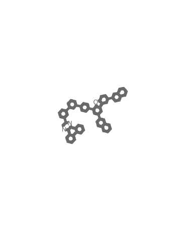 c1cc(-c2ccc(-c3cc(-c4ccc5ccccc5c4)cc4c3oc3ccc(-c5ccc6ccccc6c5)cc34)cc2)cc(-c2cccc(-c3cnc4c5ccccc5c5ccccc5c4n3)c2)c1